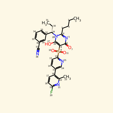 CCCCc1nc(=O)c(S(=O)(=O)c2ccc(-c3ccc(F)nc3C)cn2)c(O)n1[C@@H](CC)c1cccc(C#N)c1